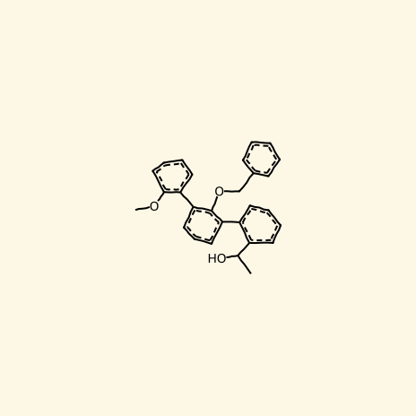 COc1ccccc1-c1cccc(-c2ccccc2C(C)O)c1OCc1ccccc1